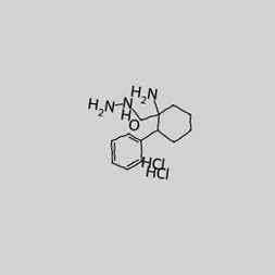 Cl.Cl.NNC(=O)C1(N)CCCCC1c1ccccc1